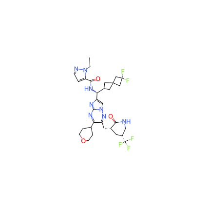 CCn1nccc1C(=O)N[C@H](c1cn2nc(C[C@H]3C[C@@H](C(F)(F)F)CNC3=O)c(C3CCOCC3)nc2n1)C1CC2(C1)CC(F)(F)C2